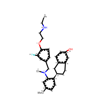 CCN(Cc1ccc(OCCNCC(C)C)c(F)c1)c1cc(OC)ccc1[C@@H]1CCc2cc(O)ccc2C1